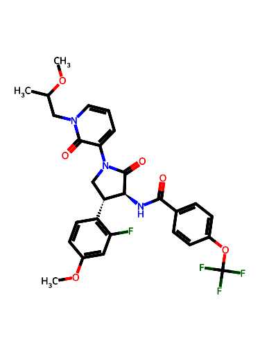 COc1ccc([C@@H]2CN(c3cccn(CC(C)OC)c3=O)C(=O)[C@H]2NC(=O)c2ccc(OC(F)(F)F)cc2)c(F)c1